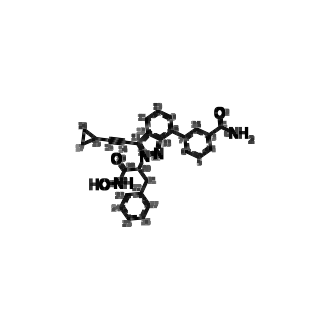 NC(=O)c1cccc(-c2cccc3c(C#CC4CC4)n(C(Cc4ccccc4)C(=O)NO)nc23)c1